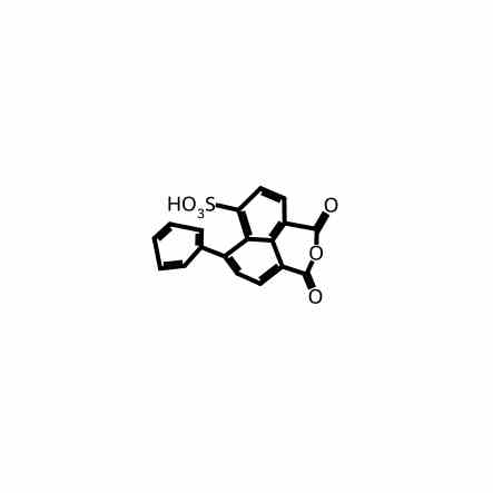 O=C1OC(=O)c2ccc(S(=O)(=O)O)c3c(-c4ccccc4)ccc1c23